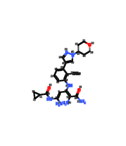 COc1c(NC(/C=C(\N)NC(=O)C2CC2)=C(/N)C(N)=O)cccc1-c1cnn(C2CCOCC2)c1